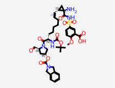 COc1ccc(S(=O)(=O)NC(=O)[C@@]2(N)C[C@H]2/C=C\CCCCC[C@H](NC(=O)OC(C)(C)C)C(=O)N2C[C@H](OC(=O)N3Cc4ccccc4C3)C[C@H]2C=O)cc1C(=O)O